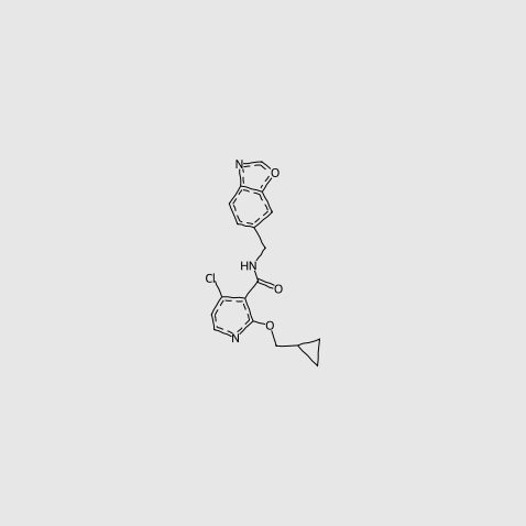 O=C(NCc1ccc2ncoc2c1)c1c(Cl)ccnc1OCC1CC1